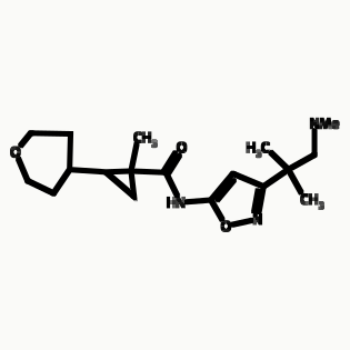 CNCC(C)(C)c1cc(NC(=O)C2(C)CC2C2CCOCC2)on1